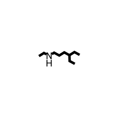 CCNCCCC(CC)CC